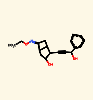 O=C(O)CO/N=C1/CC2C1CC(O)C2C#CC(O)c1ccccc1